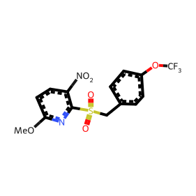 COc1ccc([N+](=O)[O-])c(S(=O)(=O)Cc2ccc(OC(F)(F)F)cc2)n1